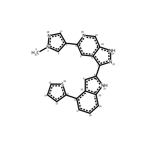 Cn1cc(-c2cc3c(-c4cc5c(-c6cccs6)cccc5[nH]4)n[nH]c3cn2)cn1